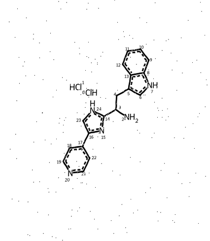 Cl.Cl.NC(Cc1c[nH]c2ccccc12)c1nc(-c2ccncc2)c[nH]1